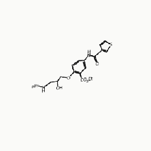 CCCNCC(O)COc1ccc(NC(=O)c2ccsc2)cc1C(=O)OCC